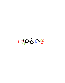 CCc1cc(CN2CCC3(CCS(=O)(=O)C3)C2)ccc1-c1ccc2c(c1)C(F)(F)C2(O)C(F)(F)F